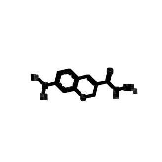 CCN(CC)c1ccc2c(c1)OCC(C(=O)NN)=C2